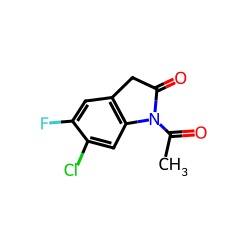 CC(=O)N1C(=O)Cc2cc(F)c(Cl)cc21